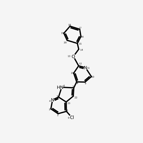 Clc1ccnc2[nH]c(-c3ccnc(OCc4ccccc4)c3)cc12